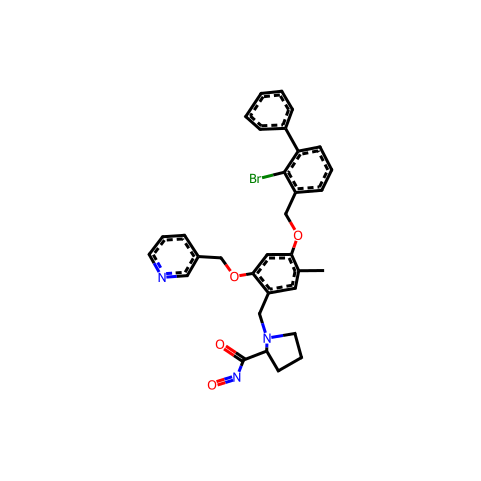 Cc1cc(CN2CCCC2C(=O)N=O)c(OCc2cccnc2)cc1OCc1cccc(-c2ccccc2)c1Br